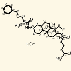 CC(C)CCC[C@@H](C)[C@H]1CC[C@H]2[C@@H]3CCC4C[C@H](NC(=O)[C@H](N)COCc5ccccc5)CC[C@]4(C)[C@H]3CC[C@]12C.Cl